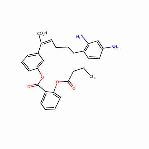 Nc1ccc(CCCC=C(C(=O)O)c2cccc(OC(=O)c3ccccc3OC(=O)CCC(F)(F)F)c2)c(N)c1